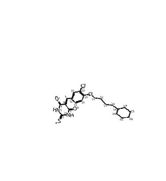 O=C1NC(=S)NC(=O)C1=Cc1ccc(OCCCCC2CCCCC2)c(Cl)c1